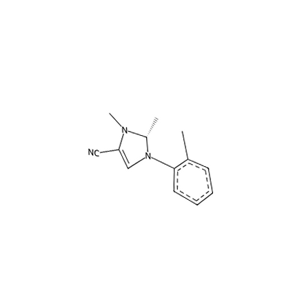 Cc1ccccc1N1C=C(C#N)N(C)[C@@H]1C